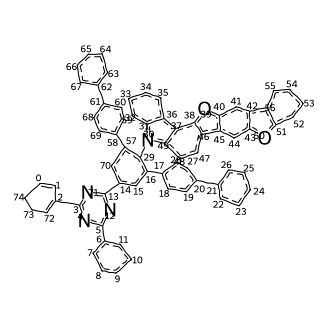 C1=CC(c2nc(-c3ccccc3)nc(-c3cc(-c4ccc(-c5ccccc5)cc4)c(-n4c5ccccc5c5c6oc7cc8c(cc7c6ccc54)oc4ccccc48)c(-c4ccc(-c5ccccc5)cc4)c3)n2)=CCC1